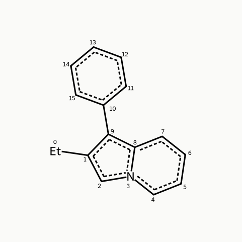 CCc1cn2ccccc2c1-c1ccccc1